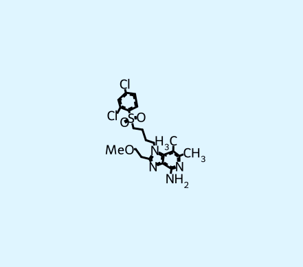 COCCc1nc2c(N)nc(C)c(C)c2n1CCCCS(=O)(=O)c1ccc(Cl)cc1Cl